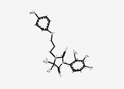 CSc1ccc(OCCCN2C(=S)N(c3ccc(C#N)c(Cl)c3C)C(=O)C2(C)C)cc1